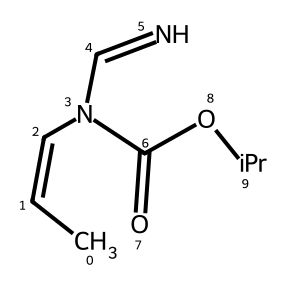 C/C=C\N(C=N)C(=O)OC(C)C